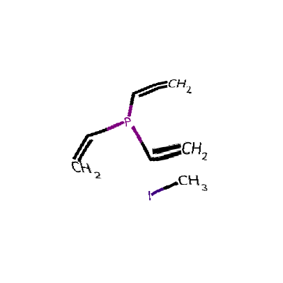 C=CP(C=C)C=C.CI